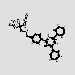 CC(C)(C)OC(CSCc1ccc(-c2nc(-c3ccccc3)cc(-c3ccccc3)n2)cc1)(N=C=O)C(=O)O